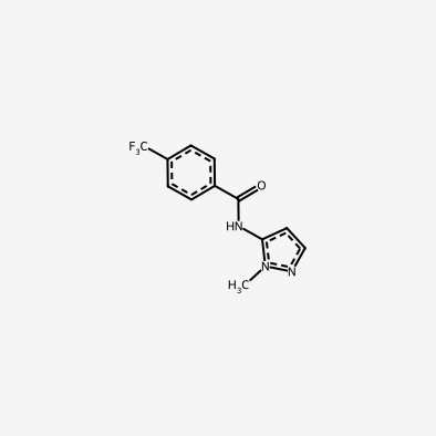 Cn1nccc1NC(=O)c1ccc(C(F)(F)F)cc1